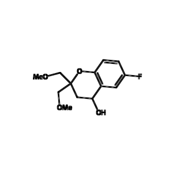 COCC1(COC)CC(O)c2cc(F)ccc2O1